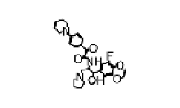 O=C(N[C@H](CN1CCCC1)C(O)c1cc(F)c2c(c1)OCCO2)C(=O)c1ccc(N2CCCCC2)cc1